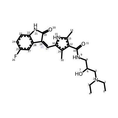 CCN(CC)CC(O)CNC(=O)c1c(C)[nH]c(/C=C2\C(=O)Nc3ccc(F)cc32)c1C